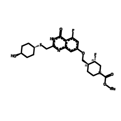 CC(C)(C)OC(=O)N1CC[C@@H](COc2cc(F)c3c(=O)[nH]c(CS[C@H]4CC[C@H](O)CC4)nc3c2)[C@H](F)C1